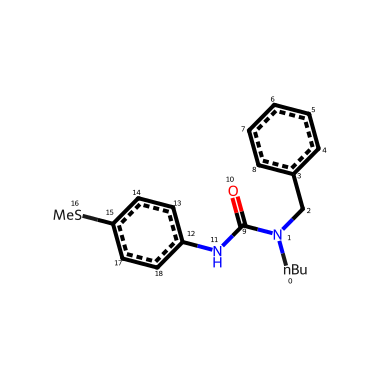 CCCCN(Cc1ccccc1)C(=O)Nc1ccc(SC)cc1